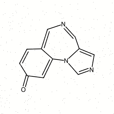 O=c1ccc2cncc3cncn3c-2c1